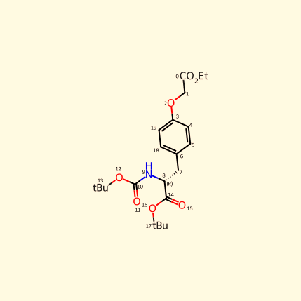 CCOC(=O)COc1ccc(C[C@@H](NC(=O)OC(C)(C)C)C(=O)OC(C)(C)C)cc1